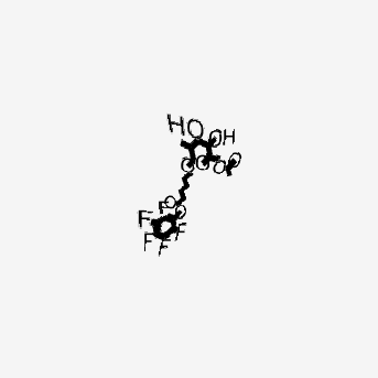 CC(=O)OCC1OC(OCCCCCC(=O)Oc2c(F)c(F)c(F)c(F)c2F)C(C)C(O)C1O